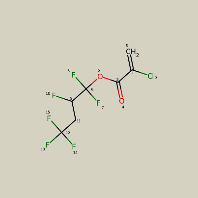 C=C(Cl)C(=O)OC(F)(F)C(F)CC(F)(F)F